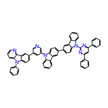 c1ccc(-c2cc(-c3ccccc3)nc(-n3c4ccccc4c4cc(-c5ccc6c(c5)c5ccccc5n6-c5cncc(-c6ccc7c(c6)c6ncccc6n7-c6ccccc6)c5)ccc43)n2)cc1